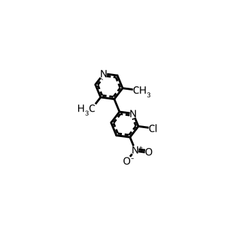 Cc1cncc(C)c1-c1ccc([N+](=O)[O-])c(Cl)n1